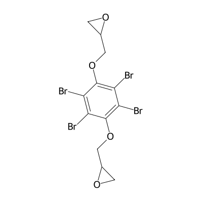 Brc1c(Br)c(OCC2CO2)c(Br)c(Br)c1OCC1CO1